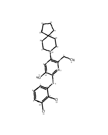 N#CCc1nc(Sc2cccc(Cl)c2Cl)c(O)cc1N1CCC2(CCCC2)CC1